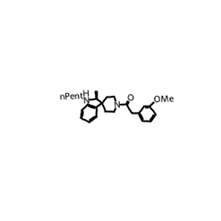 C=C(NCCCCC)C1(c2ccccc2)CCN(C(=O)Cc2cccc(OC)c2)CC1